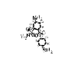 Nc1ccc(S(=O)(=O)c2ccc(N)cc2S(N)(=O)=O)cc1